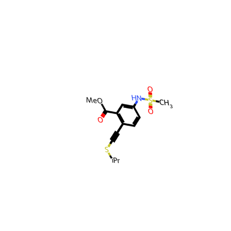 COC(=O)c1cc(NS(C)(=O)=O)ccc1C#CSC(C)C